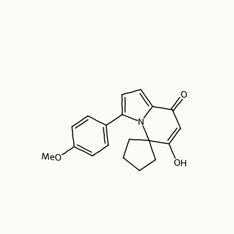 COc1ccc(-c2ccc3n2C2(CCCC2)C(O)=CC3=O)cc1